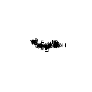 O=C1CCCN1CCOc1cc(F)c(CNc2nc3nc(O[C@@H]4CO[C@H]5[C@@H]4OC[C@H]5O)[nH]c3cc2Cl)c(F)c1